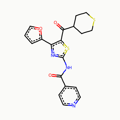 O=C(Nc1nc(-c2ccco2)c(C(=O)C2CCSCC2)s1)c1ccncc1